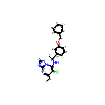 C=C(CC)/C(Cl)=C(/N[C@@H](C)c1cccc(OCc2ccccc2)c1)n1ncnc1N